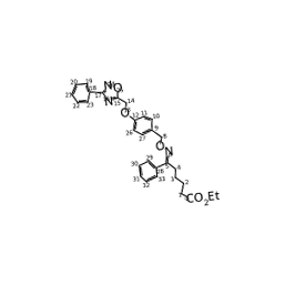 CCOC(=O)CCCCC(=NOCc1ccc(OCc2nc(-c3ccccc3)no2)cc1)c1ccccc1